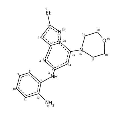 CCc1cc2nc(Nc3ccccc3N)cc(N3CCOCC3)n2n1